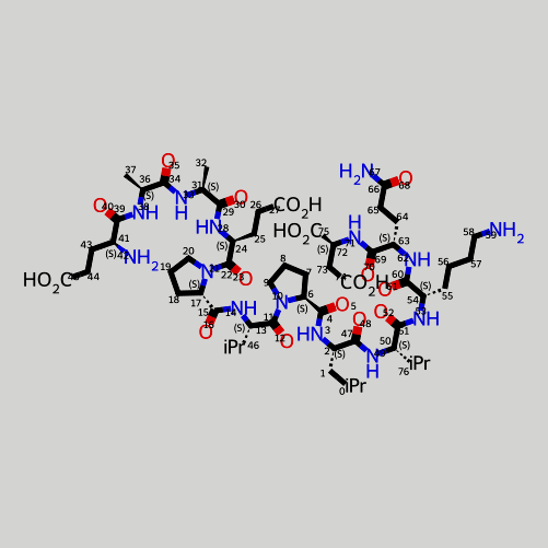 CC(C)C[C@H](NC(=O)[C@@H]1CCCN1C(=O)[C@@H](NC(=O)[C@@H]1CCCN1C(=O)[C@H](CCC(=O)O)NC(=O)[C@H](C)NC(=O)[C@H](C)NC(=O)[C@@H](N)CCC(=O)O)C(C)C)C(=O)N[C@H](C(=O)N[C@@H](CCCCN)C(=O)N[C@@H](CCC(N)=O)C(=O)N[C@@H](CC(=O)O)C(=O)O)C(C)C